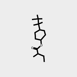 CCC(C)C(=O)OC1CCC(C(C)(C)C(C)(C)C)CC1